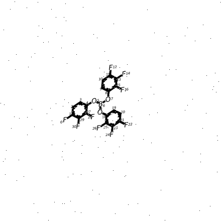 Fc1ccc(OB(Oc2ccc(F)c(F)c2F)Oc2ccc(F)c(F)c2F)c(F)c1F